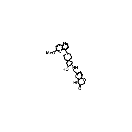 COc1ccc2nccc(N3CCC4(CC3)C[C@H](NCc3ccc5c(n3)NC(=O)CO5)[C@@H](O)C4)c2n1